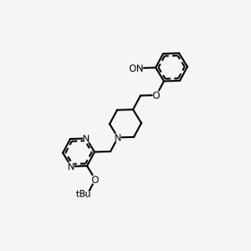 CC(C)(C)Oc1nccnc1CN1CCC(COc2ccccc2N=O)CC1